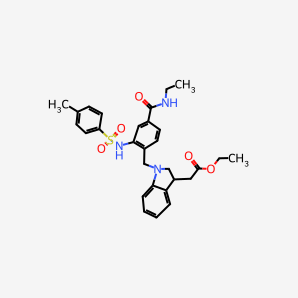 CCNC(=O)c1ccc(CN2CC(CC(=O)OCC)c3ccccc32)c(NS(=O)(=O)c2ccc(C)cc2)c1